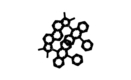 Cc1c(C)n(-c2c3ccccc3c(-c3ccccc3)c3ccccc23)c2c1ccc1c3ccc4c(C)c(C)n(-c5c6ccccc6c(-c6ccccc6)c6ccccc56)c4c3ccc12